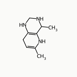 CC1=CCC2=C(N1)C(C)NCN2